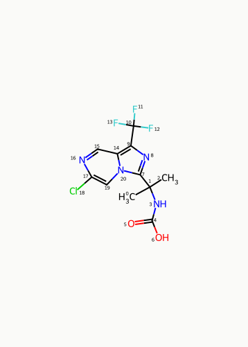 CC(C)(NC(=O)O)c1nc(C(F)(F)F)c2cnc(Cl)cn12